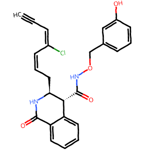 C#C/C=C(Cl)\C=C/C[C@@H]1NC(=O)c2ccccc2[C@H]1C(=O)NOCc1cccc(O)c1